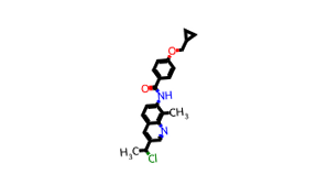 Cc1c(NC(=O)c2ccc(OCC3CC3)cc2)ccc2cc(C(C)Cl)cnc12